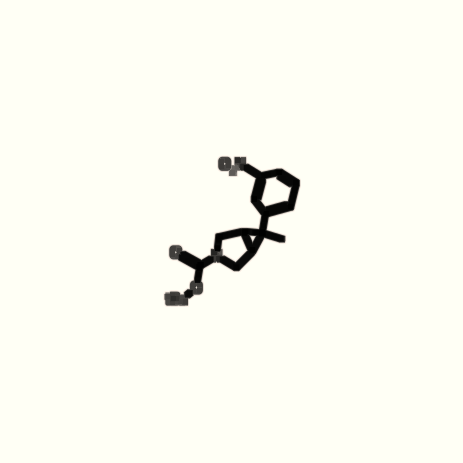 CC(C)(C)OC(=O)N1CC2C(C1)C2(C)c1cccc([N+](=O)[O-])c1